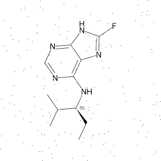 CC[C@H](Nc1ncnc2[nH]c(F)nc12)C(C)C